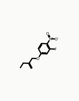 C=C(CC)COc1ccc([N+](=O)[O-])c(F)c1